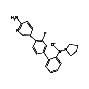 Nc1ccc(-c2ccc(-c3ccccc3[S+]([O-])N3CCCC3)cc2F)cn1